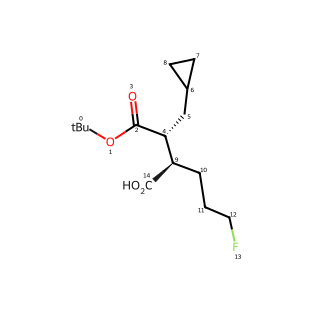 CC(C)(C)OC(=O)[C@H](CC1CC1)[C@@H](CCCF)C(=O)O